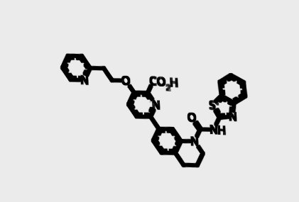 O=C(O)c1nc(-c2ccc3c(c2)N(C(=O)Nc2nc4ccccc4s2)CCC3)ccc1OCCc1ccccn1